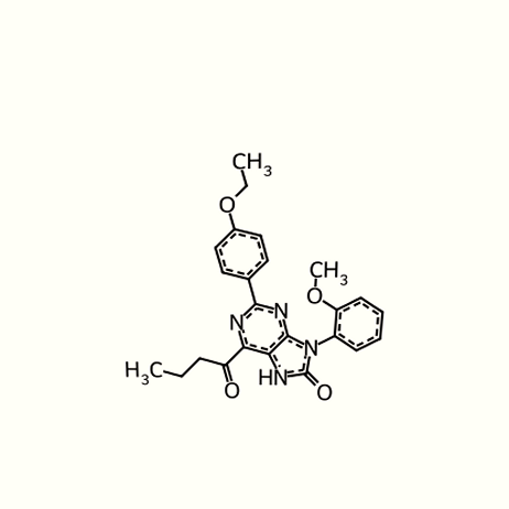 CCCC(=O)c1nc(-c2ccc(OCC)cc2)nc2c1[nH]c(=O)n2-c1ccccc1OC